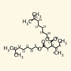 CCC(C)C(CC(=O)OCCCCCC(C)C)C(=O)OCCCCCC(C)C